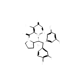 O=C1c2c(O)c(=O)cnn2[C@@H]([C@@H](c2cc(F)cc(F)c2)c2ccc(F)c(F)c2)[C@H]2CCCN12